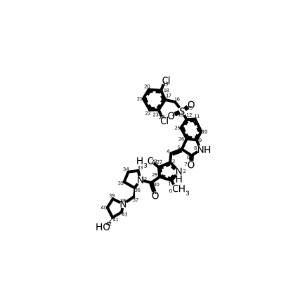 Cc1[nH]c(/C=C2\C(=O)Nc3ccc(S(=O)(=O)Cc4c(Cl)cccc4Cl)cc32)c(C)c1C(=O)N1CCC[C@@H]1CN1CC[C@@H](O)C1